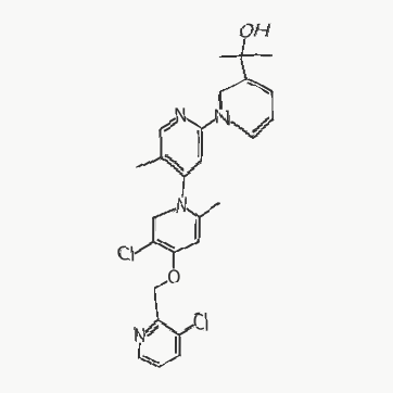 CC1=CC(OCc2ncccc2Cl)=C(Cl)CN1c1cc(N2C=CC=C(C(C)(C)O)C2)ncc1C